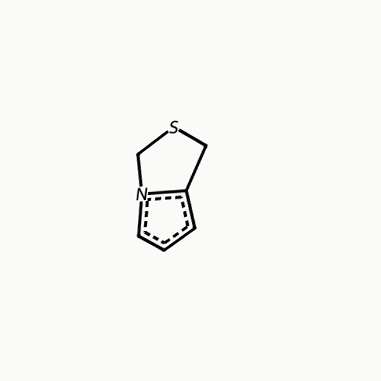 c1cc2n(c1)CSC2